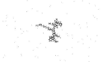 COCCOCCOCCNc1cc(COc2cc3c(cc2OC)C(=O)N[C@@H](Cc2ccccc2)CN3)cc(Oc2ccc(C(=O)Nc3ccccc3CCC=N)cc2OC)c1